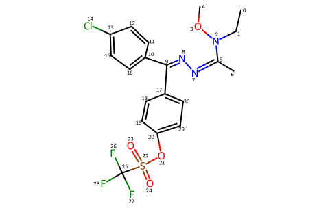 CCN(OC)C(C)=NN=C(c1ccc(Cl)cc1)c1ccc(OS(=O)(=O)C(F)(F)F)cc1